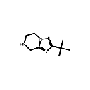 CC(C)(C)c1nc2n(n1)CCNC2